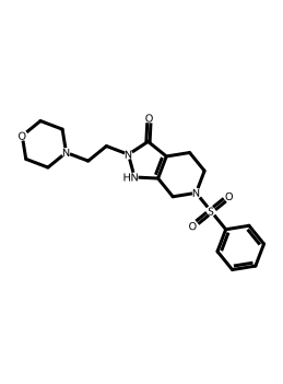 O=c1c2c([nH]n1CCN1CCOCC1)CN(S(=O)(=O)c1ccccc1)CC2